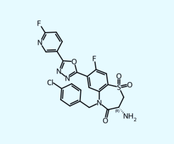 N[C@H]1CS(=O)(=O)c2cc(F)c(-c3nnc(-c4ccc(F)nc4)o3)cc2N(Cc2ccc(Cl)cc2)C1=O